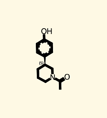 CC(=O)N1CCC[C@@H](c2ccc(O)cc2)C1